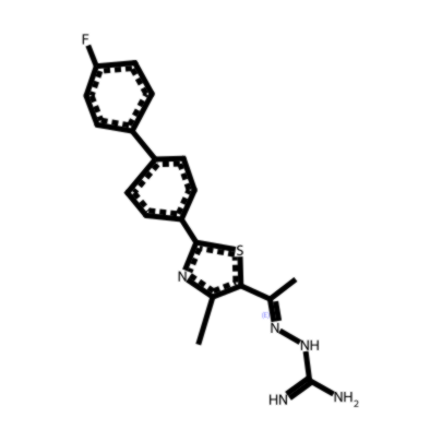 C/C(=N\NC(=N)N)c1sc(-c2ccc(-c3ccc(F)cc3)cc2)nc1C